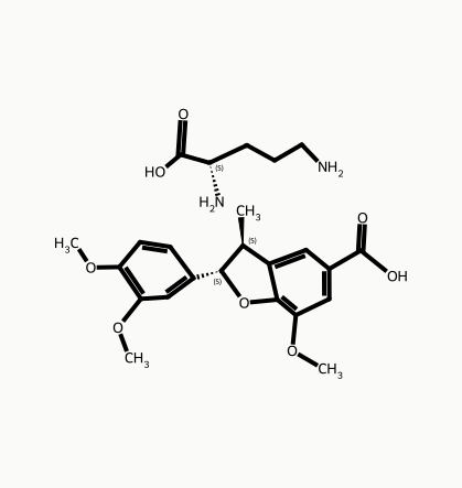 COc1ccc([C@H]2Oc3c(OC)cc(C(=O)O)cc3[C@@H]2C)cc1OC.NCCC[C@H](N)C(=O)O